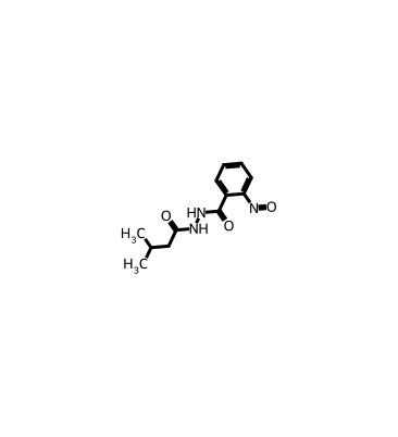 CC(C)CC(=O)NNC(=O)c1ccccc1N=O